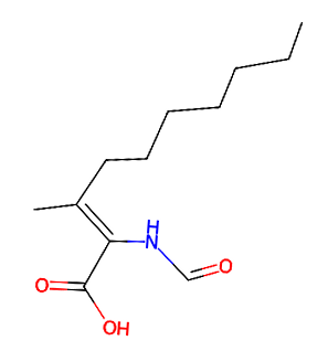 CCCCCCCC(C)=C(NC=O)C(=O)O